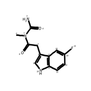 CN(C(N)=O)C(=O)Cc1c[nH]c2ccc(F)cc12